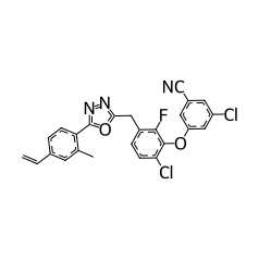 C=Cc1ccc(-c2nnc(Cc3ccc(Cl)c(Oc4cc(Cl)cc(C#N)c4)c3F)o2)c(C)c1